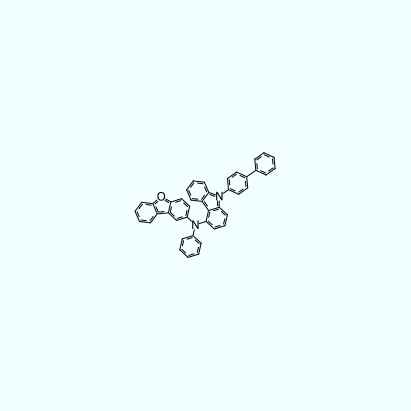 c1ccc(-c2ccc(-n3c4ccccc4c4c(N(c5ccccc5)c5ccc6oc7ccccc7c6c5)cccc43)cc2)cc1